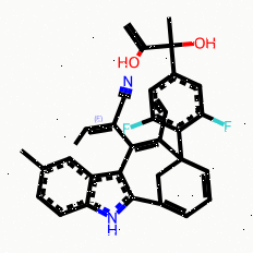 C=CC1=C(/C(C#N)=C\C)c2c([nH]c3ccc(C)cc23)C2=CC=CC1(c1c(F)cc(C(C)(O)C(=C)O)cc1F)C2